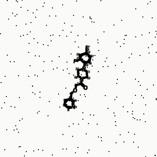 O=C(COCc1cccnc1)N1CCN(c2ccc(F)cc2F)CC1